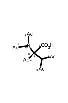 CC(=O)C(C(C)=O)[C@@](C(C)=O)(C(=O)O)N(C(C)=O)C(C)=O